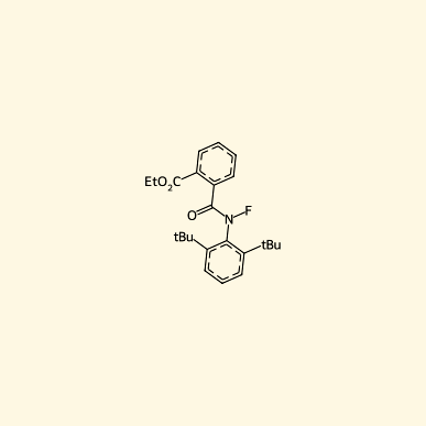 CCOC(=O)c1ccccc1C(=O)N(F)c1c(C(C)(C)C)cccc1C(C)(C)C